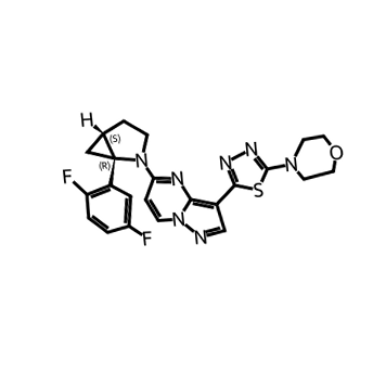 Fc1ccc(F)c([C@@]23C[C@@H]2CCN3c2ccn3ncc(-c4nnc(N5CCOCC5)s4)c3n2)c1